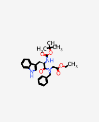 CCOC(=O)CN(Cc1ccccc1)C(=O)[C@@H](Cc1c[nH]c2ccccc12)NC(=O)OC(C)(C)C